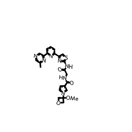 COC1(n2ccc(C(=O)NCC(=O)Nc3nc(-c4cccc(-c5cncc(C)n5)n4)cs3)c2)COC1